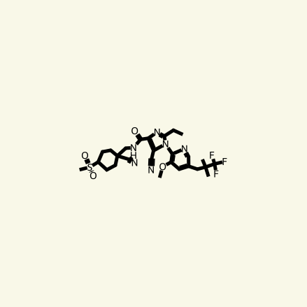 CCc1nc(C(=O)NCC2(C#N)CCC(S(C)(=O)=O)CC2)c(C#N)n1-c1ncc(CC(C)(C)C(F)(F)F)cc1OC